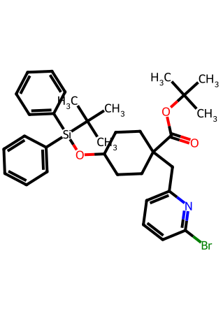 CC(C)(C)OC(=O)C1(Cc2cccc(Br)n2)CCC(O[Si](c2ccccc2)(c2ccccc2)C(C)(C)C)CC1